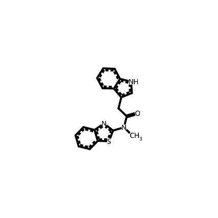 CN(C(=O)Cc1c[nH]c2ccccc12)c1nc2ccccc2s1